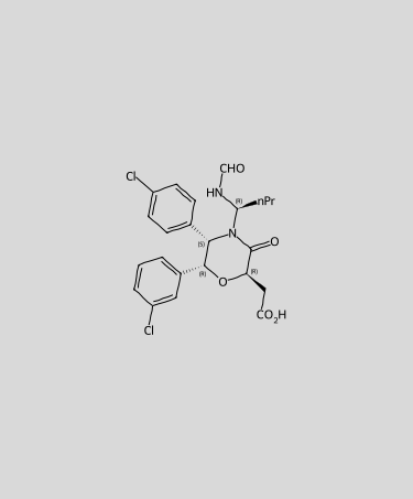 CCC[C@H](NC=O)N1C(=O)[C@@H](CC(=O)O)O[C@H](c2cccc(Cl)c2)[C@@H]1c1ccc(Cl)cc1